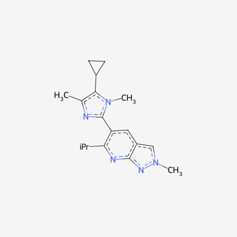 Cc1nc(-c2cc3cn(C)nc3nc2C(C)C)n(C)c1C1CC1